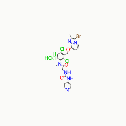 Cc1nc2c(OCc3c(Cl)ccc(N(C)C(=O)CNC(=O)Nc4ccncc4)c3Cl)cccn2c1Br.Cl.Cl